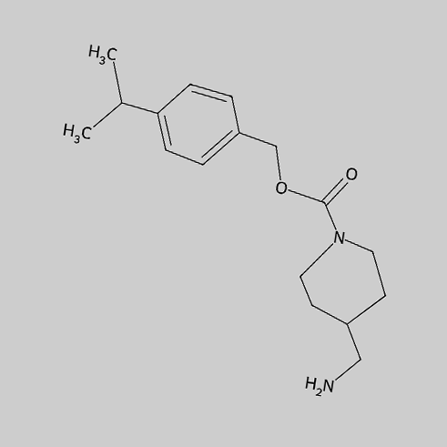 CC(C)c1ccc(COC(=O)N2CCC(CN)CC2)cc1